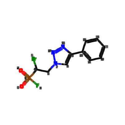 O=S(=O)(F)C(Br)Cn1cc(-c2ccccc2)nn1